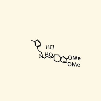 COc1cc2c(cc1OC)CCC(O)(CCCN(C)CCc1cccc(C)c1)CC2.Cl